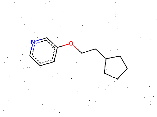 [c]1cncc(OCCC2CCCC2)c1